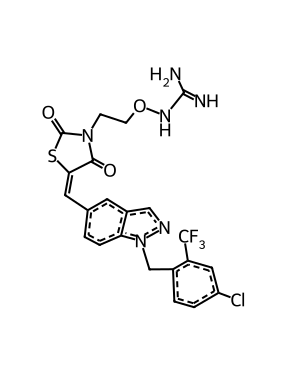 N=C(N)NOCCN1C(=O)SC(=Cc2ccc3c(cnn3Cc3ccc(Cl)cc3C(F)(F)F)c2)C1=O